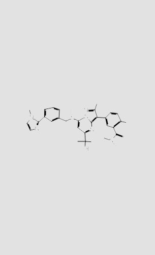 CC[C@H](C)N(C)C(=O)c1cc(-c2c(C)nn3c(NCc4cccc(-c5nccn5C)c4)cc(C(C)(C)O)nc23)ccc1C